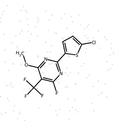 COc1nc(-c2ccc(Cl)s2)nc(F)c1C(F)(F)F